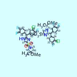 COC(C)Cn1cc(S(=O)(=O)O)nc1C(c1ccc(F)c(F)c1)c1ccc(F)c(Cl)c1.COC1(C)CCN(S(=O)(=O)c2c[nH]c(C(c3ccc(F)c(F)c3)c3ccc(F)c(Cl)c3)n2)C1